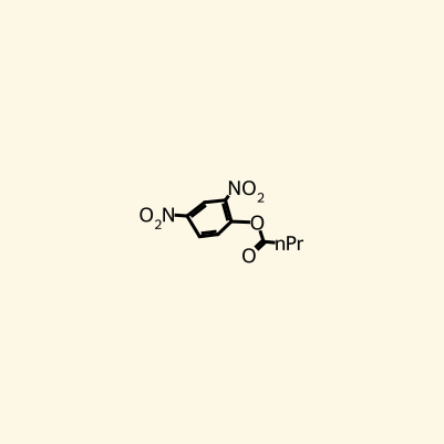 CCCC(=O)Oc1ccc([N+](=O)[O-])cc1[N+](=O)[O-]